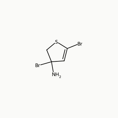 NC1(Br)C=C(Br)SC1